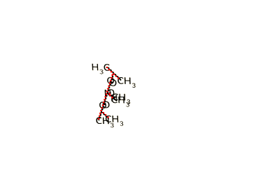 CCCCCCC(CCCCCC)CCCCOC(=O)CCCCCCCN(CCCCCCCC(=O)OCCCCC(CCCCCC)CCCCCC)C(=O)CCCN(C)C